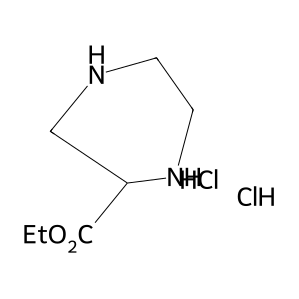 CCOC(=O)C1CNCCN1.Cl.Cl